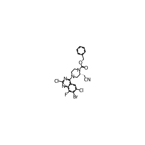 N#CC[C@@H]1CN(c2nc(Cl)nc3c(F)c(Br)c(Cl)cc23)CCN1C(=O)OCc1ccccc1